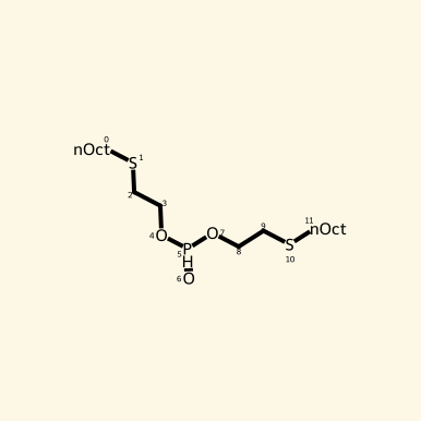 CCCCCCCCSCCO[PH](=O)OCCSCCCCCCCC